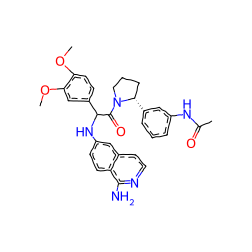 COc1ccc(C(Nc2ccc3c(N)nccc3c2)C(=O)N2CCC[C@@H]2c2cccc(NC(C)=O)c2)cc1OC